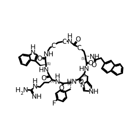 N=C(N)NCCC[C@@H]1NC(=O)[C@@H](Cc2ccc(F)cc2)NC(=O)[C@H](Cc2c[nH]cn2)NC(=O)[C@@H](NC(=O)Cc2ccc3ccccc3c2)CCC(=O)NCCCCNC(=O)[C@H](Cc2c[nH]c3ccccc23)NC1=O